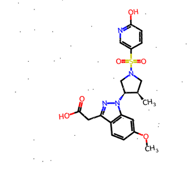 COc1ccc2c(CC(=O)O)nn([C@H]3CN(S(=O)(=O)c4ccc(O)nc4)C[C@H]3C)c2c1